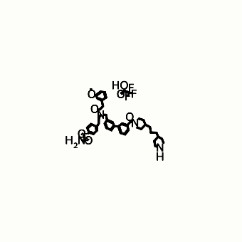 COc1cccc(CC(=O)N(CCc2ccc(S(N)(=O)=O)cc2)Cc2cccc(-c3cccc(C(=O)N4CCC(CCCC5CCNCC5)CC4)c3)c2)c1.O=C(O)C(F)(F)F